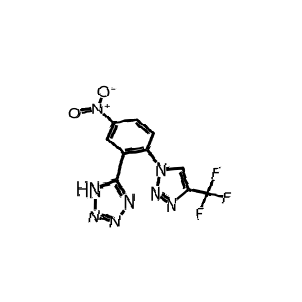 O=[N+]([O-])c1ccc(-n2cc(C(F)(F)F)nn2)c(-c2nnn[nH]2)c1